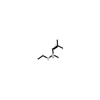 CCO[SiH](C)C=C(C)C